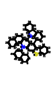 c1ccc2c(N3c4cc5sc6ccccc6c5c5c4B(c4ccc6ccccc6c43)n3c4ccccc4c4cccc-5c43)cccc2c1